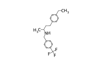 CCc1ccc(CCC(C)NCc2ccc(C(F)(F)F)cc2)cc1